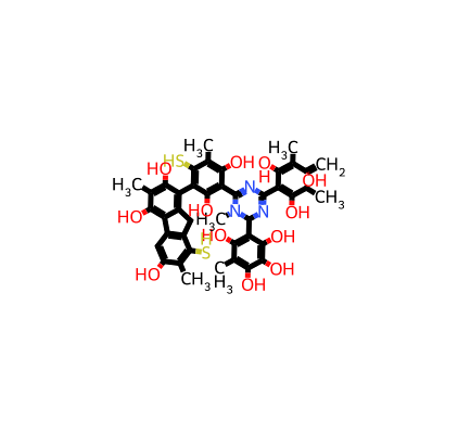 C=C(O)/C(C)=C(O)\C(C1=NC(c2c(O)c(C)c(O)c(O)c2O)N(C)C(c2c(O)c(C)c(S)c(-c3c(O)c(C)c(O)c4c3Cc3c-4cc(O)c(C)c3S)c2O)=N1)=C(\O)CC